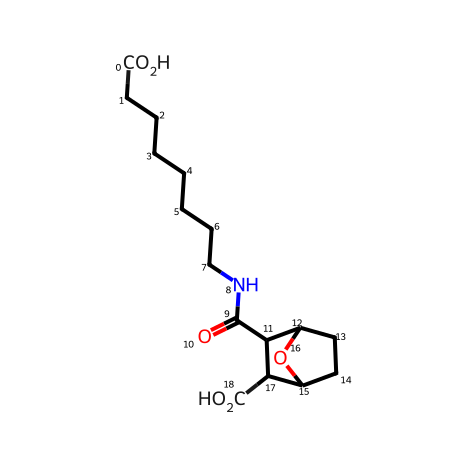 O=C(O)CCCCCCCNC(=O)C1C2CCC(O2)C1C(=O)O